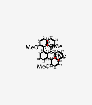 COc1cccc(OC)c1-c1cccc(-c2c(OC)cccc2OC)c1P(c1ccccc1)c1ccccc1